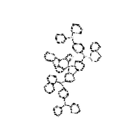 C1=Cc2ccccc2C(N(c2ccc(N(c3ccccc3)c3ccccc3)cc2)c2ccc3c(c2)C2(c4cc(N(c5ccc(N(c6ccccc6)c6ccccc6)cc5)c5cccc6ccccc56)ccc4-3)c3ccccc3-n3c4ccccc4c4cccc2c43)C1